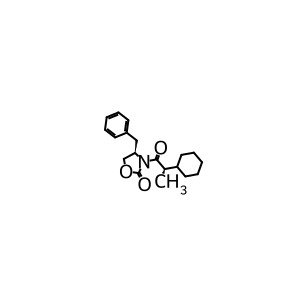 C[C@@H](C(=O)N1C(=O)OC[C@H]1Cc1ccccc1)C1CCCCC1